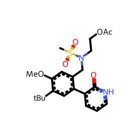 COc1cc(CN(CCOC(C)=O)S(C)(=O)=O)c(-c2ccc[nH]c2=O)cc1C(C)(C)C